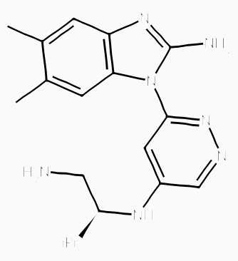 Cc1cc2nc(N)n(-c3cc(N[C@H](CN)C(C)C)cnn3)c2cc1C